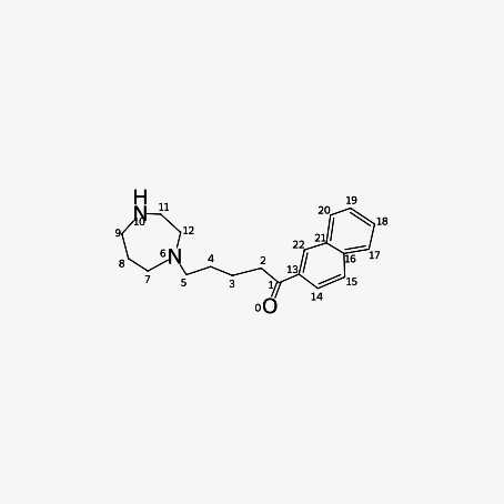 O=C(CCCCN1CCCNCC1)c1ccc2ccccc2c1